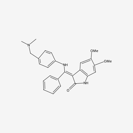 COc1cc2c(cc1OC)C(=C(Nc1ccc(CN(C)C)cc1)c1ccccc1)C(=O)N2